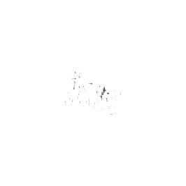 NC(=O)N1C(=O)C(=C(O)c2cccs2)c2cc(-c3nnn(C(c4ccccc4)(c4ccccc4)c4ccccc4)n3)ccc21